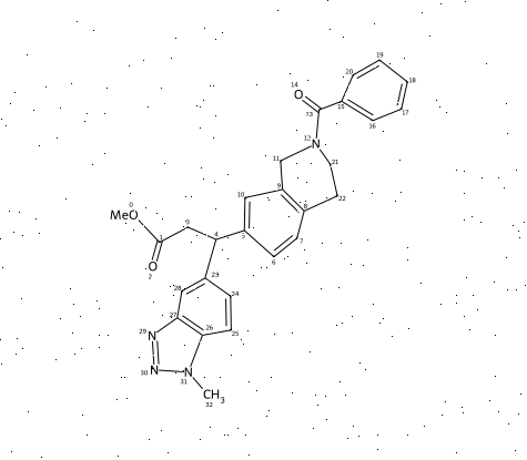 COC(=O)CC(c1ccc2c(c1)CN(C(=O)c1ccccc1)CC2)c1ccc2c(c1)nnn2C